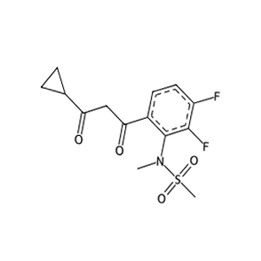 CN(c1c(C(=O)CC(=O)C2CC2)ccc(F)c1F)S(C)(=O)=O